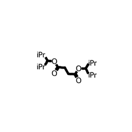 CC(C)C(OC(=O)CCC(=O)OC(C(C)C)C(C)C)C(C)C